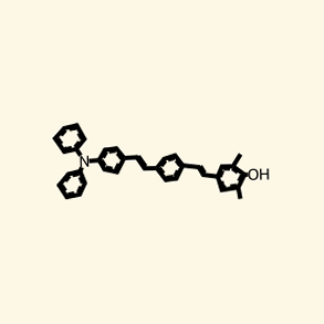 Cc1cc(/C=C/c2ccc(/C=C/c3ccc(N(c4ccccc4)c4ccccc4)cc3)cc2)cc(C)c1O